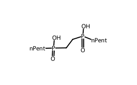 CCCCCP(=O)(O)CCP(=O)(O)CCCCC